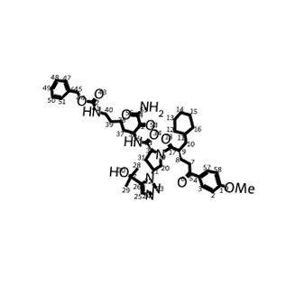 COc1ccc(C(=O)CC[C@H](CC2CCCCC2)C(=O)N2C[C@@H](n3nncc3C(C)(C)O)C[C@H]2C(=O)NC(CCCCNC(=O)OCc2ccccc2)C(=O)C(N)=O)cc1